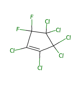 FC1(F)C(Cl)=C(Cl)C(Cl)(Cl)C1(Cl)Cl